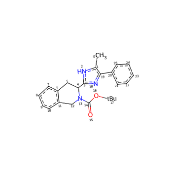 Cc1[nH]c(C2Cc3ccccc3CN2C(=O)OC(C)(C)C)nc1-c1ccccc1